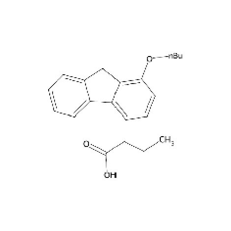 CCCC(=O)O.CCCCOc1cccc2c1Cc1ccccc1-2